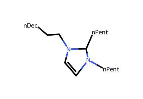 CCCCCCCCCCCCN1C=CN(CCCCC)C1CCCCC